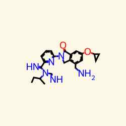 CCC(C)N(C=N)C(=N)c1cccc(N2Cc3c(CN)cc(OC4CC4)cc3C2=O)n1